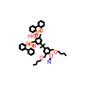 CCCCOCc1cc(C(C)(C)c2cc(CP3(=O)Oc4ccccc4-c4ccccc43)c(O)c(CP3(=O)Oc4ccccc4-c4ccccc43)c2)cc(COCCCC)c1OC#N